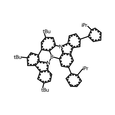 CC(C)c1ccccc1-c1ccc2c(c1)c1cc(-c3ccccc3C(C)C)cc3c1n2-c1cc(C(C)(C)C)cc2c1B3n1c3ccc(C(C)(C)C)cc3c3cc(C(C)(C)C)cc-2c31